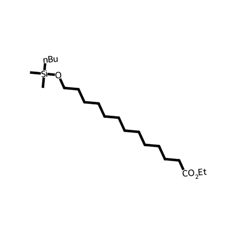 CCCC[Si](C)(C)OCCCCCCCCCCCCC(=O)OCC